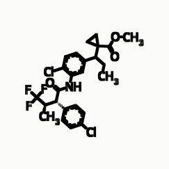 CCC(c1ccc(Cl)c(NC(=O)[C@H](c2ccc(Cl)cc2)[C@@H](C)C(F)(F)F)c1)C1(C(=O)OC)CC1